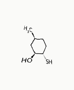 C[C@H]1CC[C@H](S)[C@@H](O)C1